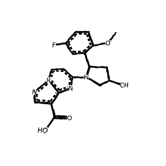 COc1ccc(F)cc1C1CC(O)CN1c1ccn2ncc(C(=O)O)c2n1